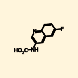 O=C(O)Nc1cnc2ccc(F)cc2c1